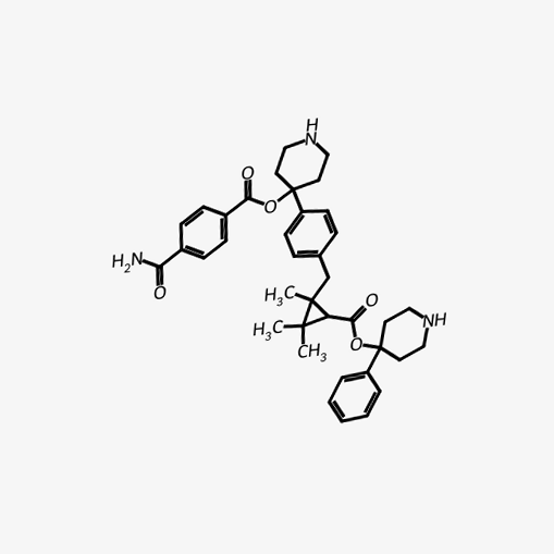 CC1(C)C(C(=O)OC2(c3ccccc3)CCNCC2)C1(C)Cc1ccc(C2(OC(=O)c3ccc(C(N)=O)cc3)CCNCC2)cc1